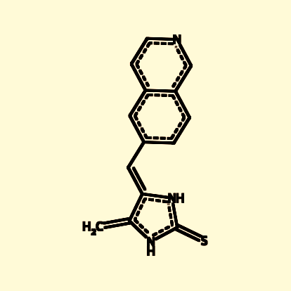 C=c1[nH]c(=S)[nH]/c1=C\c1ccc2cnccc2c1